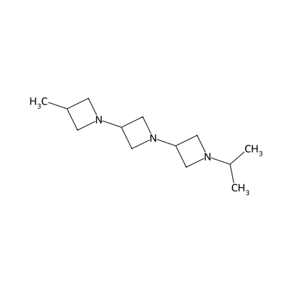 CC1CN(C2CN(C3CN(C(C)C)C3)C2)C1